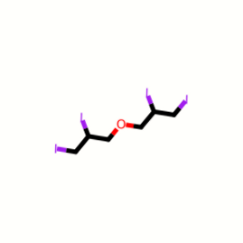 ICC(I)COCC(I)CI